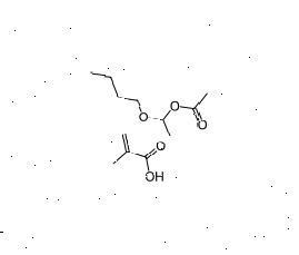 C=C(C)C(=O)O.CCCCOC(C)OC(C)=O